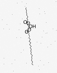 CCCCCCCCCCCCCCCCCCCCCC(=O)OCC(O)COC(=O)CCCCCCCCC